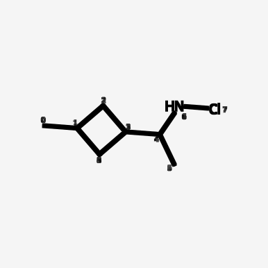 CC1CC(C(C)NCl)C1